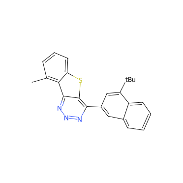 Cc1cccc2sc3c(-c4cc(C(C)(C)C)c5ccccc5c4)nnnc3c12